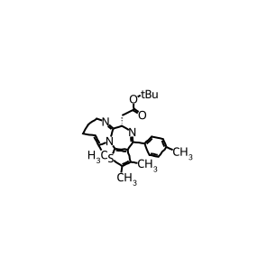 C/C1=C\CCC/N=C2/[C@H](CC(=O)OC(C)(C)C)N=C(c3ccc(C)cc3)c3c(sc(C)c3C)N21